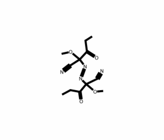 CCC(=O)C(C#N)(N=NC(C#N)(OC)C(=O)CC)OC